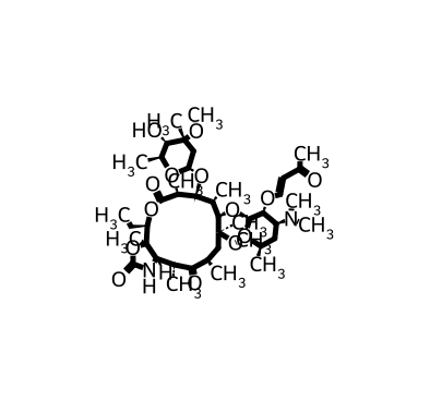 CC[C@H]1OC(=O)[C@H](C)[C@@H](O[C@H]2C[C@@](C)(OC)[C@@H](O)[C@H](C)O2)[C@H](C)[C@@H](O[C@@H]2O[C@H](C)C[C@H](N(C)C)[C@H]2O/C=C/C(C)=O)[C@@](C)(OC)C[C@@H](C)C(=O)[C@H](C)[C@H]2NC(=O)O[C@@]21C